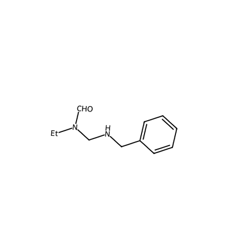 CCN(C=O)CNCc1ccccc1